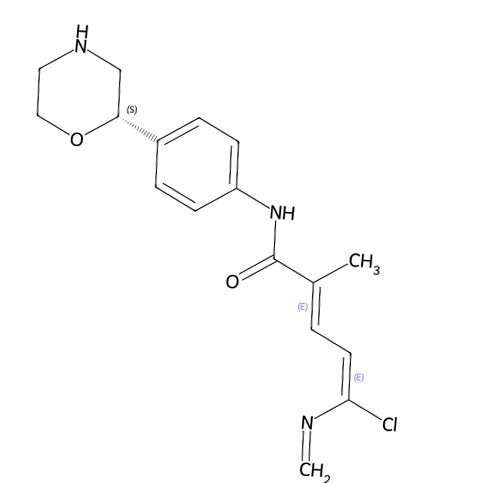 C=N/C(Cl)=C\C=C(/C)C(=O)Nc1ccc([C@H]2CNCCO2)cc1